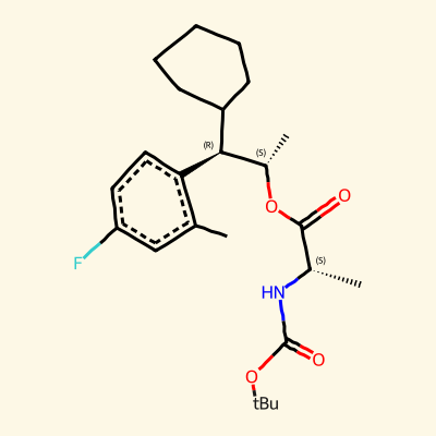 Cc1cc(F)ccc1[C@@H](C1CCCCC1)[C@H](C)OC(=O)[C@H](C)NC(=O)OC(C)(C)C